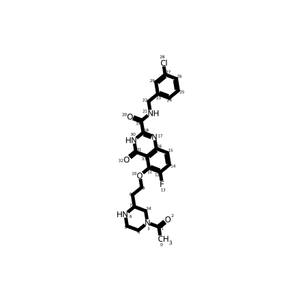 CC(=O)N1CCNC(CCOc2c(F)ccc3nc(C(=O)NCc4cccc(Cl)c4)[nH]c(=O)c23)C1